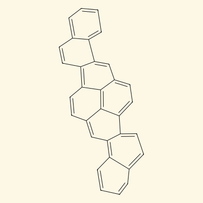 c1ccc2c(c1)ccc1c2cc2ccc3c4ccc5ccccc5c4cc4ccc1c2c43